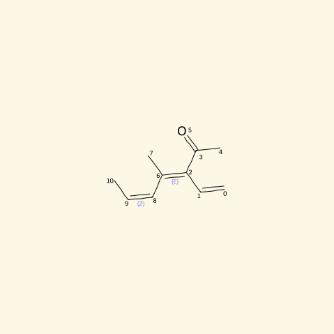 C=C/C(C(C)=O)=C(C)\C=C/C